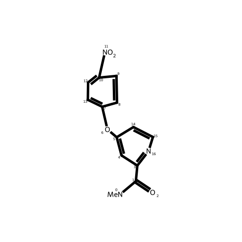 CNC(=O)c1cc(Oc2ccc([N+](=O)[O-])cc2)ccn1